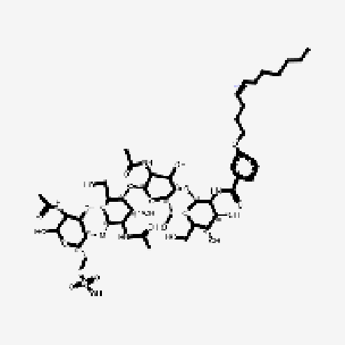 CCCCCC/C=C\CCCOc1cccc(C(=O)NC2[C@H](O[C@H]3C(O)C(NC(C)=O)[C@H](O[C@@H]4C(CO)O[C@@H](O[C@H]5C(O)C(NC(C)=O)C(O)O[C@H]5COS(=O)(=O)O)C(NC(C)=O)[C@H]4O)O[C@H]3CO)OC(CO)[C@@H](O)[C@@H]2O)c1